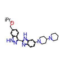 CC(C)OCc1ccc2c(-c3nc4ccc(N5CCC(N6CCCCC6)CC5)cc4[nH]3)n[nH]c2c1